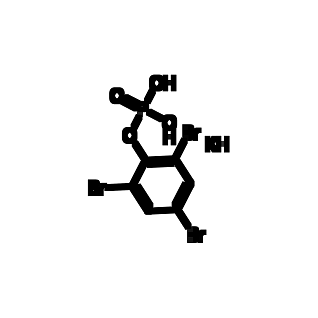 O=P(O)(O)Oc1c(Br)cc(Br)cc1Br.[KH]